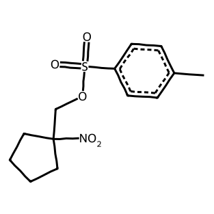 Cc1ccc(S(=O)(=O)OCC2([N+](=O)[O-])CCCC2)cc1